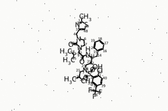 Cc1nc(CN2CCN([C@H](C(=O)N[C@@H](Cc3ccccc3)[C@@H](O)CN(CC(C)C)S(=O)(=O)c3cc(C(F)(F)F)ccc3Cl)C(C)C)C2=O)cs1